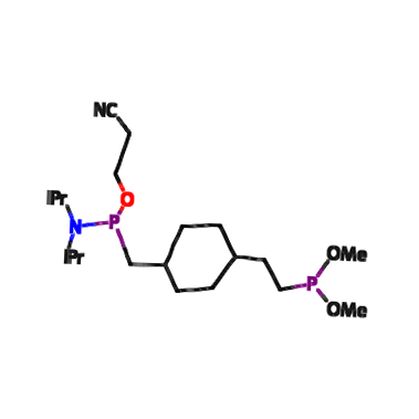 COP(CCC1CCC(CP(OCCC#N)N(C(C)C)C(C)C)CC1)OC